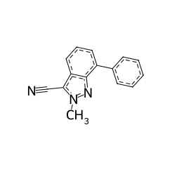 Cn1nc2c(-c3ccccc3)cccc2c1C#N